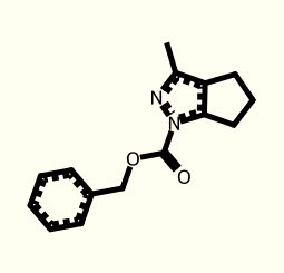 Cc1nn(C(=O)OCc2ccccc2)c2c1CCC2